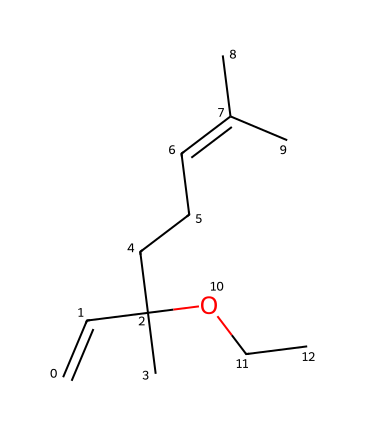 C=CC(C)(CCC=C(C)C)OCC